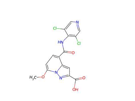 COc1ccc(C(=O)Nc2c(Cl)cncc2Cl)c2cc(C(=O)O)nn12